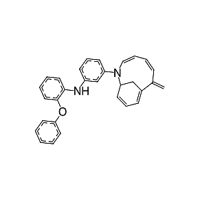 C=C1/C=C\C=C/N(c2cccc(Nc3ccccc3Oc3ccccc3)c2)C2C=CC=C1C2